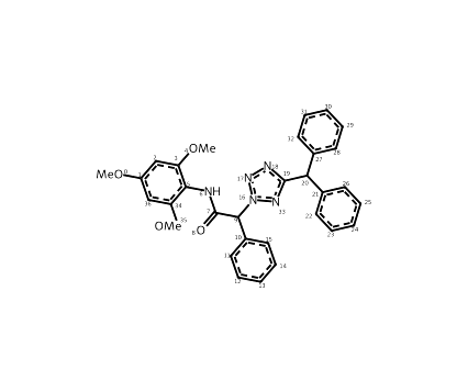 COc1cc(OC)c(NC(=O)C(c2ccccc2)n2nnc(C(c3ccccc3)c3ccccc3)n2)c(OC)c1